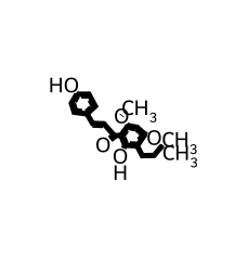 COc1cc2c(c(O)c1C(=O)/C=C/c1ccc(O)cc1)CCC(C)(C)O2